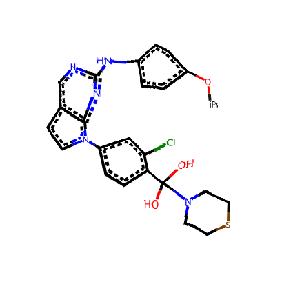 CC(C)Oc1ccc(Nc2ncc3ccn(-c4ccc(C(O)(O)N5CCSCC5)c(Cl)c4)c3n2)cc1